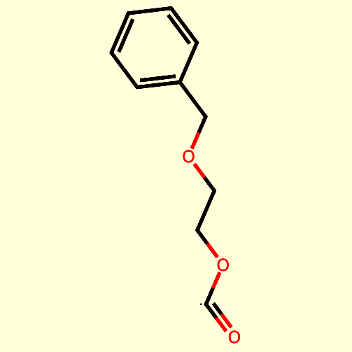 O=[C]OCCOCc1ccccc1